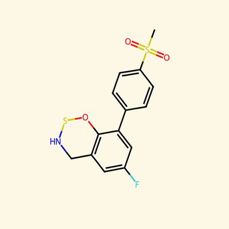 CS(=O)(=O)c1ccc(-c2cc(F)cc3c2OSNC3)cc1